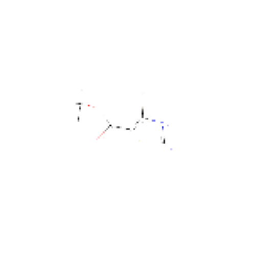 CC(C)(C)OC(=O)c1sc(N)nc1Br